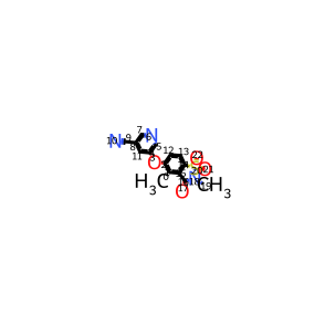 Cc1c(Oc2cncc(C#N)c2)ccc2c1C(=O)N(C)S2(=O)=O